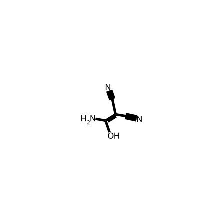 N#CC(C#N)=C(N)O